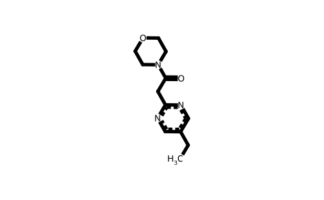 CCc1cnc(CC(=O)N2CCOCC2)nc1